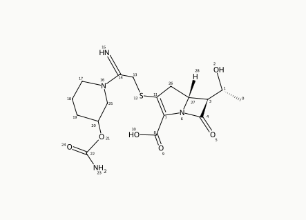 C[C@@H](O)[C@H]1C(=O)N2C(C(=O)O)=C(SCC(=N)N3CCCC(OC(N)=O)C3)C[C@H]12